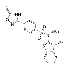 CCCCN(c1sc2ccccc2c1Br)S(=O)(=O)c1ccc(-c2noc(=S)[nH]2)cc1